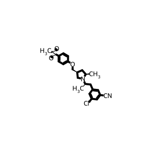 C[C@@H]1C[C@H](COc2ccc(S(C)(=O)=O)cc2)CN1[C@@H](C)Cc1cc(Cl)cc(C#N)c1